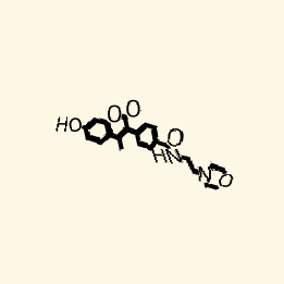 Cc1c(-c2ccc(C(=O)NCCN3CCOCC3)cc2)c(=O)oc2cc(O)ccc12